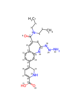 CCCN(CCC)C(=O)C1=Cc2ccc(C3=CC=C(C(=O)O)NC3)cc2N=C(N=NN)C1